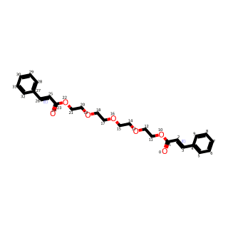 O=C(/C=C/c1ccccc1)OCCOCCOCCOCCOC(=O)/C=C/c1ccccc1